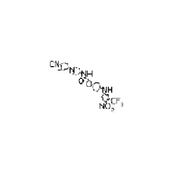 [C-]#[N+]c1ccc(N2CCC(NC(=O)COC3CCC(Nc4ccc([N+](=O)[O-])c(C(F)(F)F)c4)CC3)CC2)cc1C